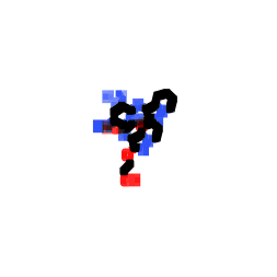 N=C1C=C(N)/C(=N/c2c(OCCO)nn3ccccc23)N/C1=N\c1c(OCCO)nn2ccccc12